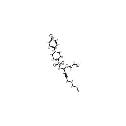 CCCCCC#CC(CS(=O)(=O)N1CCC(c2ccc(Cl)cc2)CC1)ONC=O